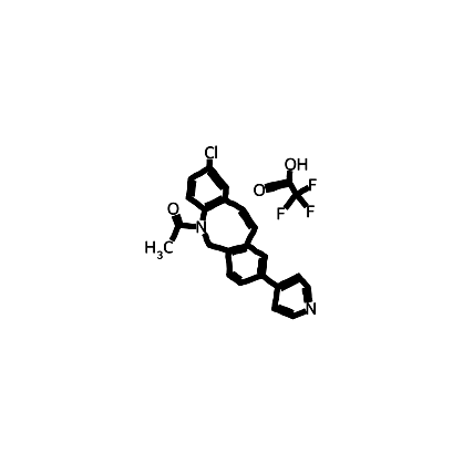 CC(=O)N1Cc2ccc(-c3ccncc3)cc2/C=C\c2cc(Cl)ccc21.O=C(O)C(F)(F)F